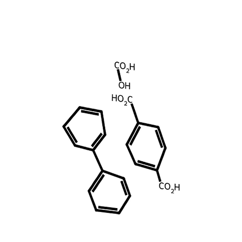 O=C(O)O.O=C(O)c1ccc(C(=O)O)cc1.c1ccc(-c2ccccc2)cc1